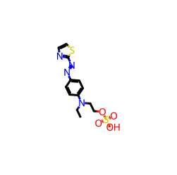 CCN(CCOS(=O)(=O)O)c1ccc(/N=N/c2nccs2)cc1